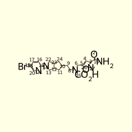 NC(=O)c1cc(CN(CCC2CC3CN(c4ccc(Br)cn4)CC3C2)C(=O)O)on1